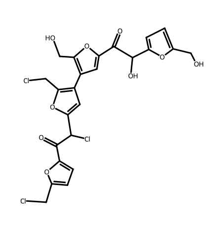 O=C(c1cc(-c2cc(C(Cl)C(=O)c3ccc(CCl)o3)oc2CCl)c(CO)o1)C(O)c1ccc(CO)o1